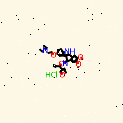 C#CC(ON=C1c2cc(OC)c(OC)cc2-c2[nH]c3ccc(OCCN(CC)CC)cc3c21)c1ccoc1.Cl